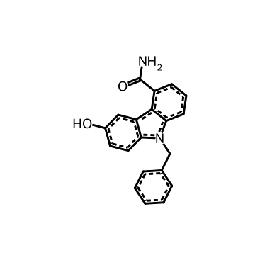 NC(=O)c1cccc2c1c1cc(O)ccc1n2Cc1ccccc1